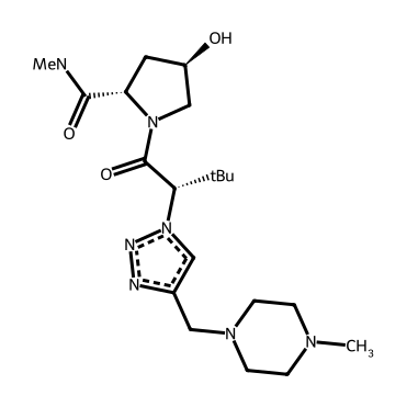 CNC(=O)[C@@H]1C[C@@H](O)CN1C(=O)[C@@H](n1cc(CN2CCN(C)CC2)nn1)C(C)(C)C